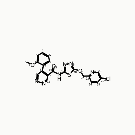 COc1ccccc1-c1cnncc1C(=O)Nc1nnc(OCc2ccc(Cl)cn2)s1